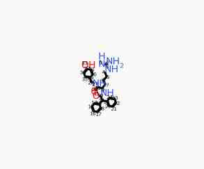 N=C(N)NCCCCC(NC(=O)C(c1ccccc1)c1ccccc1)C(=O)NCc1ccc(O)cc1